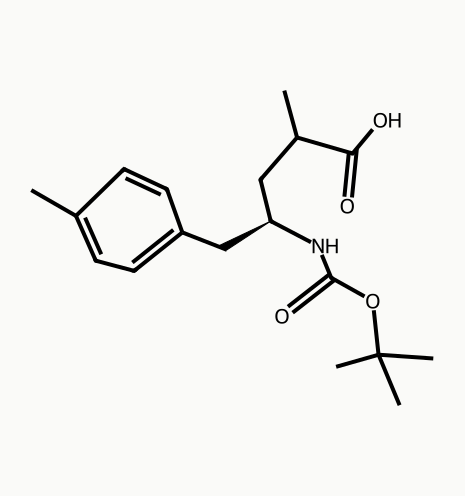 Cc1ccc(C[C@@H](CC(C)C(=O)O)NC(=O)OC(C)(C)C)cc1